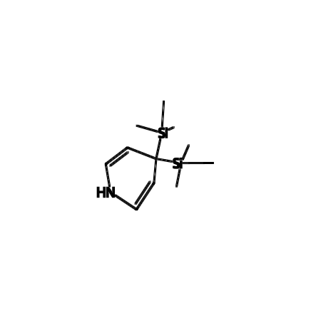 C[Si](C)(C)C1([Si](C)(C)C)C=CNC=C1